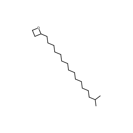 CC(C)CCCCCCCCCCCCCC[C]1CCO1